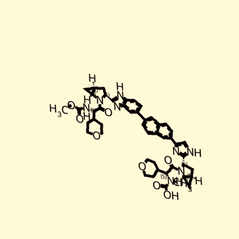 COC(=O)N[C@H](C(=O)N1[C@@H]2C[C@H]2C[C@H]1c1nc2cc(-c3ccc4cc(-c5c[nH]c([C@@H]6C[C@H]7C[C@H]7N6C(=O)[C@H](C6CCOCC6)N(C)C(=O)O)n5)ccc4c3)ccc2[nH]1)C1CCOCC1